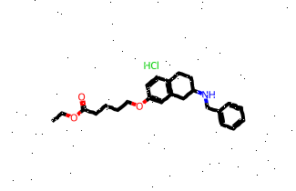 CCOC(=O)CCCCOc1ccc2c(c1)CC(NCc1ccccc1)CC2.Cl